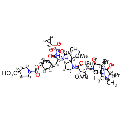 CC[C@H](C)[C@@H](C(CC(=O)N1CCC[C@H]1[C@H](OC)[C@@H](C)C(=O)N[C@@H](Cc1ccc(OC(=O)N2CCC(C(=O)O)CC2)cc1)C(=O)NS(=O)(=O)C1CC1)OC)N(C)C(=O)[C@@H](NC(=O)[C@H](C(C)C)N(C)C)C(C)C